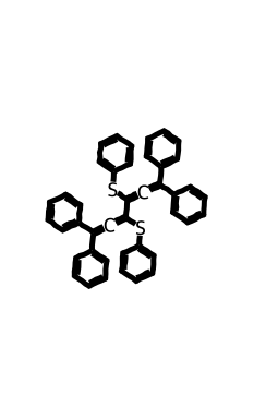 C(=C(Sc1ccccc1)C(=C=C(c1ccccc1)c1ccccc1)Sc1ccccc1)=C(c1ccccc1)c1ccccc1